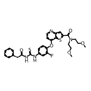 COCCN(CCOC)C(=O)c1cc2nccc(Oc3ccc(NC(=S)NC(=O)Cc4ccccc4)cc3F)c2s1